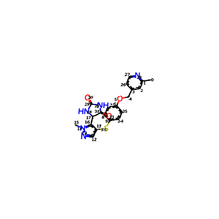 Cc1cc(COc2ccc(Sc3cnn(C)c3C3NC(=O)NC3=O)cc2)ccn1